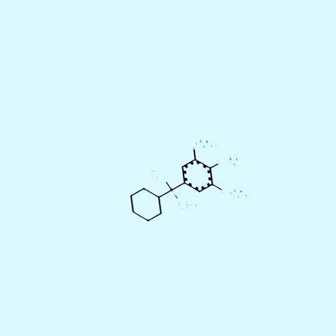 COc1cc([C@]([C]=O)(C2CCCCC2)C(C)(C)C)cc(OC)c1OC